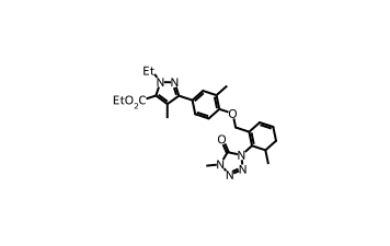 CCOC(=O)c1c(C)c(-c2ccc(OCC3=C(n4nnn(C)c4=O)C(C)CC=C3)c(C)c2)nn1CC